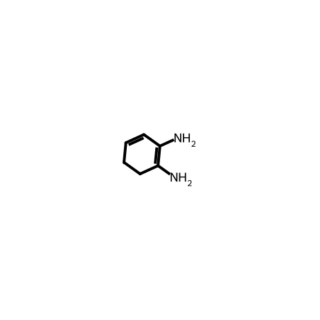 NC1=C(N)CCC=C1